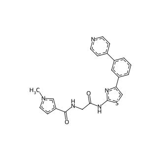 Cn1ccc(C(=O)NCC(=O)Nc2nc(-c3cccc(-c4ccncc4)c3)cs2)c1